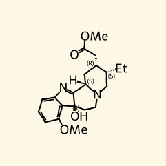 CC[C@@H]1CN2CC[C@@]3(O)C(=Nc4cccc(OC)c43)[C@@H]2C[C@@H]1CC(=O)OC